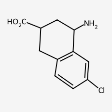 NC1CC(C(=O)O)Cc2ccc(Cl)cc21